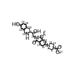 CCOc1nc(N2CCN(C(=O)OC)CC2)ccc1C(=O)NC[C@@H](O)[C@@H]1Cc2ccc(O)cc2CN1